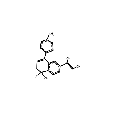 C/C(=C\C#N)c1ccc2c(c1)C(c1ccc(C)cc1)=CCC2(C)C